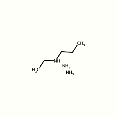 CCCNCC.N.N